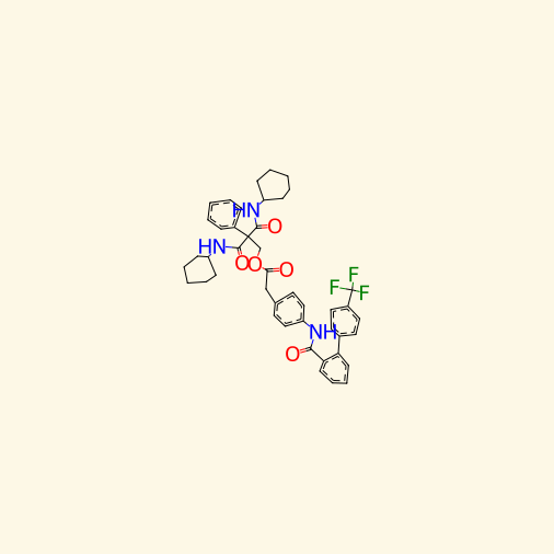 O=C(Cc1ccc(NC(=O)c2ccccc2-c2ccc(C(F)(F)F)cc2)cc1)OCC(C(=O)NC1CCCCC1)(C(=O)NC1CCCCC1)c1ccccc1